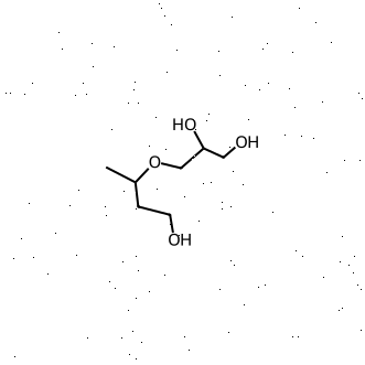 CC(CCO)OCC(O)CO